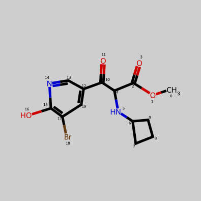 COC(=O)C(NC1CCC1)C(=O)c1cnc(O)c(Br)c1